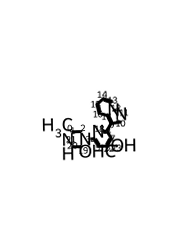 CC1CN(c2cccc(-c3cnn4ccccc34)n2)CCN1.O=CO